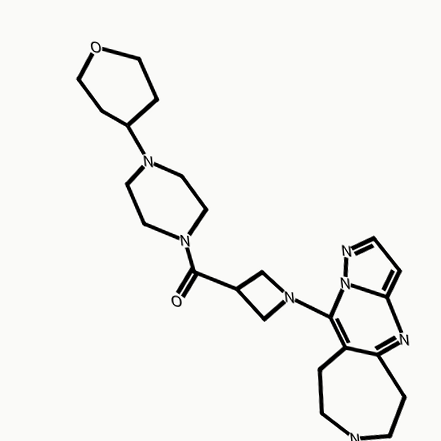 O=C(C1CN(c2c3c(nc4ccnn24)CCNCC3)C1)N1CCN(C2CCOCC2)CC1